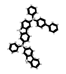 c1ccc(-c2ccc(N(c3ccccc3)c3ccc4sc5cc(N(c6ccccc6)c6ccc7c(c6)oc6ccccc67)ccc5c4c3)cc2)cc1